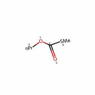 [CH2]CCOC(=O)SC